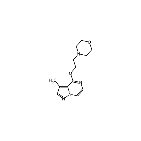 Cc1cnn2ccnc(OCCN3CCOCC3)c12